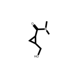 CN(C)C(=O)C1CC1CO